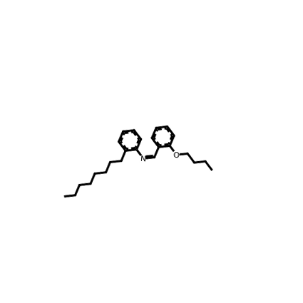 CCCCCCCCc1ccccc1/N=C\c1ccccc1OCCCC